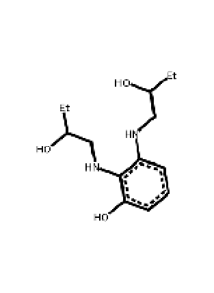 CCC(O)CNc1cccc(O)c1NCC(O)CC